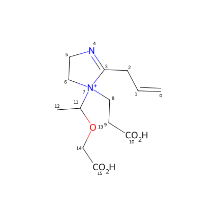 C=CCC1=NCC[N+]1(CCC(=O)O)C(C)OCC(=O)O